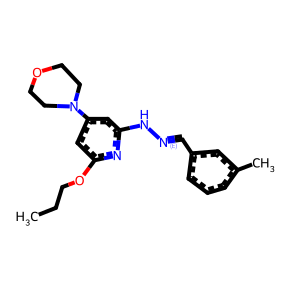 CCCOc1cc(N2CCOCC2)cc(N/N=C/c2cccc(C)c2)n1